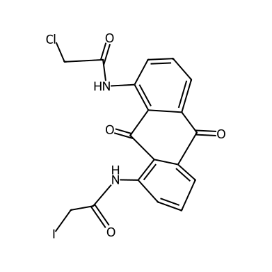 O=C(CCl)Nc1cccc2c1C(=O)c1c(NC(=O)CI)cccc1C2=O